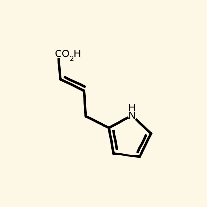 O=C(O)C=CCc1ccc[nH]1